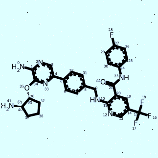 Nc1ncc(-c2ccc(CNc3ncc(C(F)(F)F)cc3C(=O)Nc3ccc(F)cc3)cc2)nc1O[C@@H]1CCC[C@H]1N